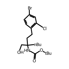 CCCCC(CO)(CCc1ccc(Br)cc1Cl)NC(=O)OC(C)(C)C